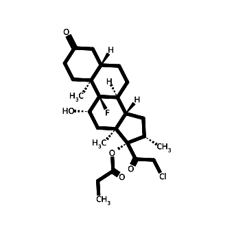 CCC(=O)O[C@@]1(C(=O)CCl)[C@@H](C)C[C@H]2[C@@H]3CC[C@H]4CC(=O)CC[C@]4(C)[C@@]3(F)[C@@H](O)C[C@@]21C